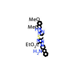 CCOC(=O)c1nc(Sc2ccnc(NCc3ccc(OC)cc3OC)n2)c(C)nc1N1CCC2(CC1)Cc1ccccc1[C@H]2N